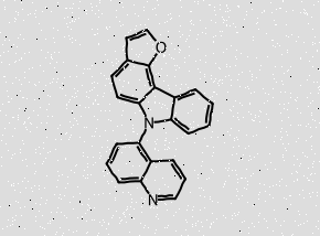 c1cc(-n2c3ccccc3c3c4occc4ccc32)c2cccnc2c1